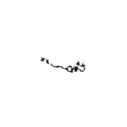 CC(C)(C)OC(=O)NCCC#CCOc1ccc(S(=O)(=O)N2CCSC(C)(C)C2C(=O)O)cc1